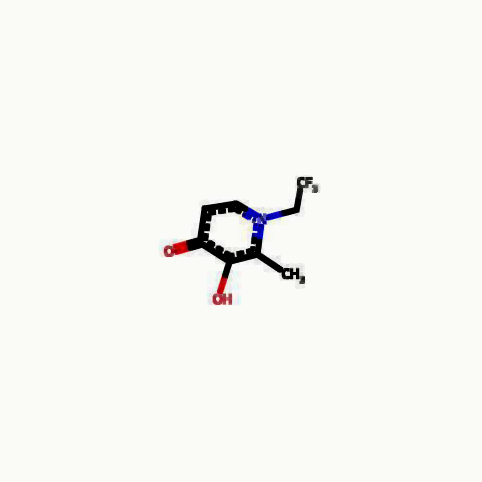 Cc1c(O)c(=O)ccn1CC(F)(F)F